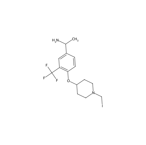 CC(N)c1ccc(OC2CCN(CI)CC2)c(C(F)(F)F)c1